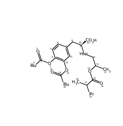 CCC(C)C(=O)Oc1ccc(C[C@H](NCC(C)OC(=O)C(C)C(C)C)C(=O)O)cc1OC(=O)C(C)CC